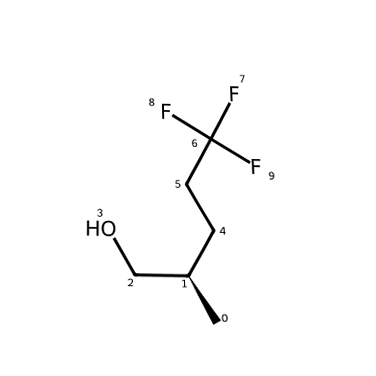 C[C@@H](CO)CCC(F)(F)F